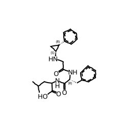 CC(C)CC(NC(=O)[C@@H](Cc1ccccc1)NC(=O)CN[C@H]1C[C@@H]1c1ccccc1)C(=O)O